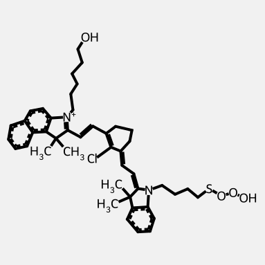 CC1(C)C(/C=C/C2=C(Cl)C(=C/C=C3/N(CCCCSOOO)c4ccccc4C3(C)C)/CCC2)=[N+](CCCCCCO)c2ccc3ccccc3c21